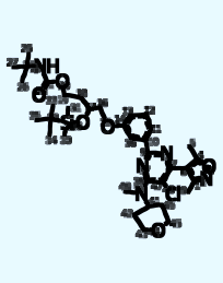 Cc1noc(C)c1-c1nc(-c2cccc(OCC(CCOC(=O)NC(C)(C)C)O[Si](C)(C)C(C)(C)C)c2)nc(N(C)C2CCOCC2)c1Cl